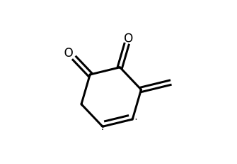 C=C1[C]=[C]CC(=O)C1=O